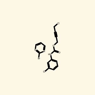 Brc1ncccn1.O=C(Nc1cccc(Cl)c1)OCC#CCCl